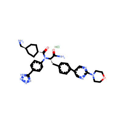 Cl.NC[C@H]1CC[C@H](C(=O)N(c2ccc(-c3nnn[nH]3)cc2)[C@@H](Cc2ccc(-c3cnc(N4CCOCC4)nc3)cc2)C(N)=O)CC1